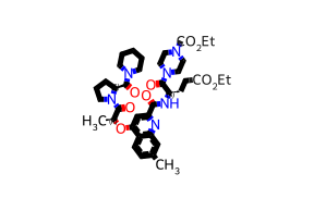 CCOC(=O)CC[C@H](NC(=O)c1cc(O[C@H](C)C(=O)N2CCC[C@H]2C(=O)N2CCCCC2)c2ccc(C)cc2n1)C(=O)N1CCN(C(=O)OCC)CC1